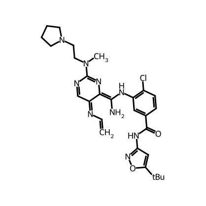 C=C/N=C1/C=NC(N(C)CCN2CCCC2)=N/C1=C(/N)Nc1cc(C(=O)Nc2cc(C(C)(C)C)on2)ccc1Cl